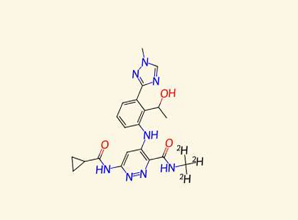 [2H]C([2H])([2H])NC(=O)c1nnc(NC(=O)C2CC2)cc1Nc1cccc(-c2ncn(C)n2)c1C(C)O